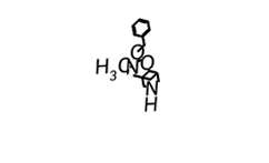 CN(CC12CNCC(C1)C2)C(=O)OCc1ccccc1